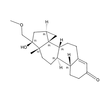 COC[C@]1(O)C[C@H]2C[C@]23[C@@H]2CCC4=CC(=O)CC[C@@H]4[C@H]2CC[C@]13C